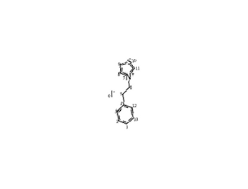 [I-].c1ccc(CC[n+]2ccsc2)cc1